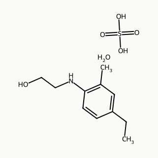 CCc1ccc(NCCO)c(C)c1.O.O=S(=O)(O)O